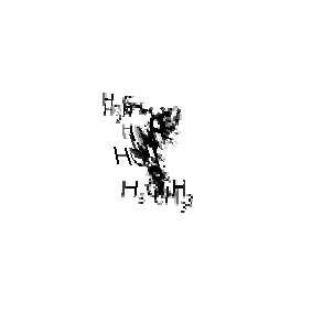 C[C@H](N)CCCc1cc(-c2cc3c([nH]2)=NC(O)N(c2ccc(C(C)(C)C)cc2)C=3)c(F)c2c1COC2